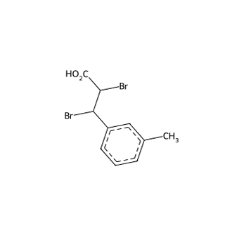 Cc1cccc(C(Br)C(Br)C(=O)O)c1